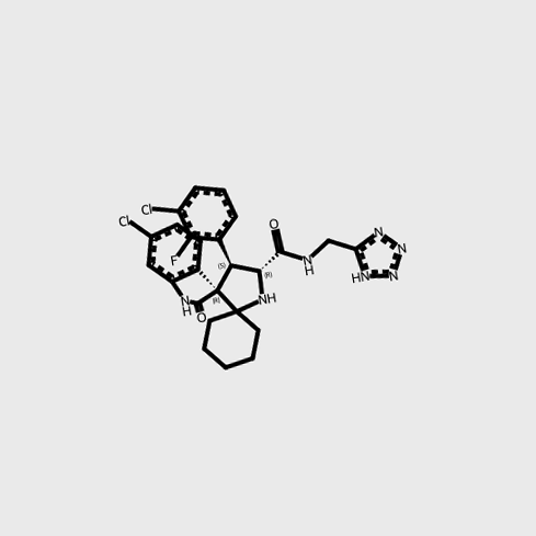 O=C(NCc1nnn[nH]1)[C@@H]1NC2(CCCCC2)[C@@]2(C(=O)Nc3cc(Cl)ccc32)[C@H]1c1cccc(Cl)c1F